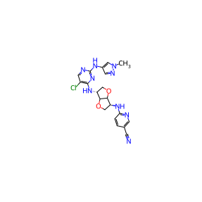 Cn1cc(Nc2ncc(Cl)c(N[C@@H]3COC4C3OC[C@@H]4Nc3ccc(C#N)cn3)n2)cn1